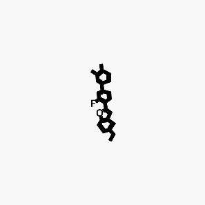 CCc1ccc2oc(-c3ccc(-c4ccc(C)c(C)c4)cc3F)cc2c1